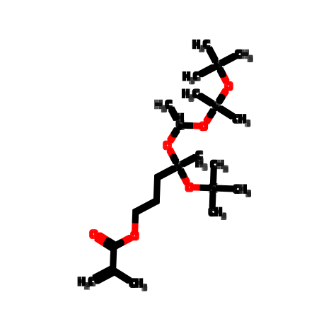 C=C(C)C(=O)OCCC[Si](C)(O[SiH](C)O[Si](C)(C)O[Si](C)(C)C)O[Si](C)(C)C